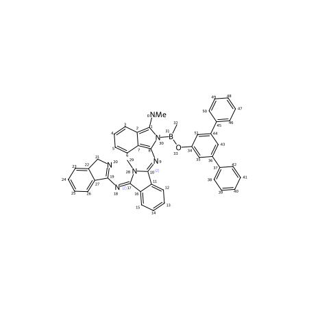 CNc1c2ccccc2c(/N=C2/c3ccccc3/C(=N/C3=NCc4ccccc43)N2C)n1B(C)Oc1cc(-c2ccccc2)cc(-c2ccccc2)c1